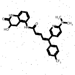 CN(C)c1ccc(/C(=C\C=C\C(=O)Nc2cccc3c2CC(O)C(=O)N3)c2ccc(C(F)(F)F)cc2)cn1